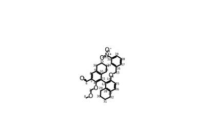 COCOc1c(C=O)cc2c(c1-c1c(OCc3cccc([N+](=O)[O-])c3)ccc3c1CCCC3)CCCC2